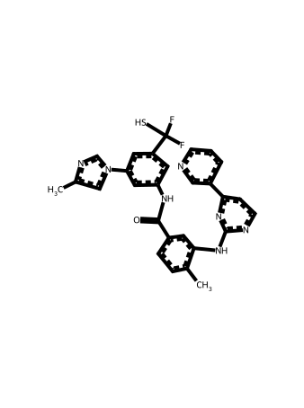 Cc1cn(-c2cc(NC(=O)c3ccc(C)c(Nc4nccc(-c5cccnc5)n4)c3)cc(C(F)(F)S)c2)cn1